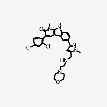 Cn1nc(-c2ccc3c(c2)c2cc(-c4ccc(Cl)cc4Cl)c(=O)n(C)c2n3C)cc1CNCCN1CCOCC1